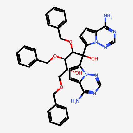 Nc1ncnn2c(C(O)(c3ccc4c(N)ncnn34)[C@H](OCc3ccccc3)[C@H](OCc3ccccc3)[C@H](O)COCc3ccccc3)ccc12